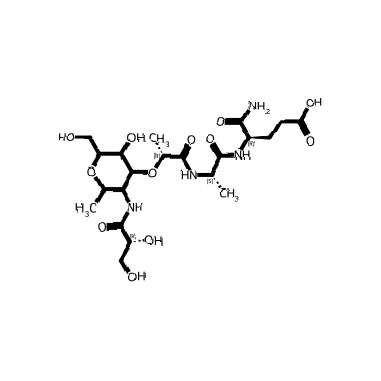 CC1OC(CO)C(O)C(O[C@H](C)C(=O)N[C@@H](C)C(=O)N[C@H](CCC(=O)O)C(N)=O)C1NC(=O)[C@H](O)CO